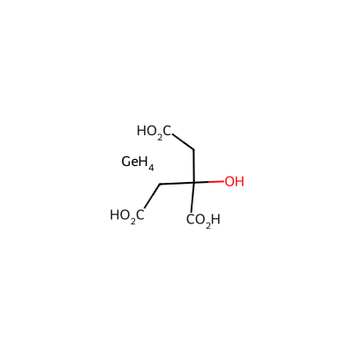 O=C(O)CC(O)(CC(=O)O)C(=O)O.[GeH4]